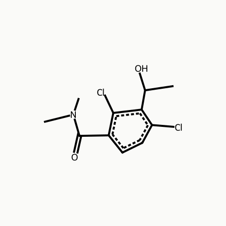 CC(O)c1c(Cl)ccc(C(=O)N(C)C)c1Cl